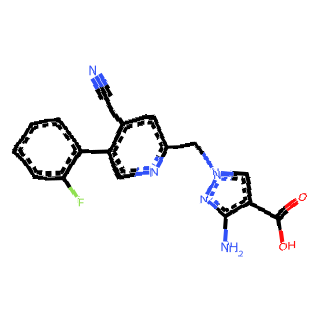 N#Cc1cc(Cn2cc(C(=O)O)c(N)n2)ncc1-c1ccccc1F